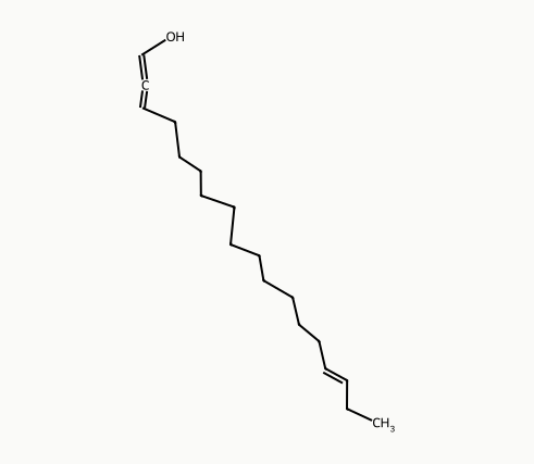 CCC=CCCCCCCCCCCCC=C=CO